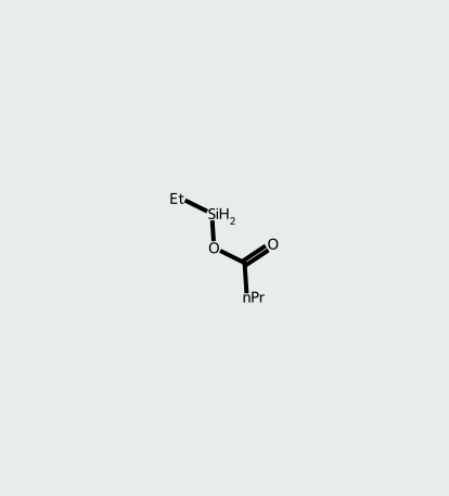 CCCC(=O)O[SiH2]CC